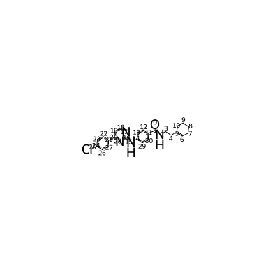 O=C(NCCC1=CCCCC1)c1ccc(Nc2nccc(-c3ccc(Cl)cc3)n2)cc1